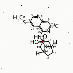 CSc1cnc2cc(Cl)nc(NC3C[C@H]4CC[C@@H](C3)N4C(=O)O)c2c1